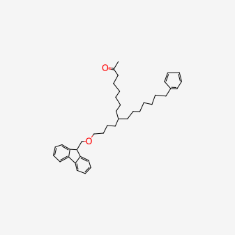 CC(=O)CCCCCCC(CCCCCCCc1ccccc1)CCCCOCC1c2ccccc2-c2ccccc21